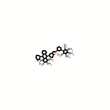 Bc1c(B)c(B)c(-c2cccc(-c3cc4cc(-c5c6ccccc6c(-c6ccccc6)c6c(B)c(B)c(B)c(B)c56)ccc4o3)c2)c(B)c1B